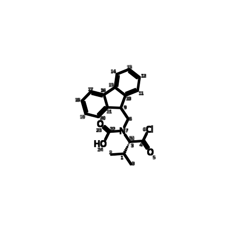 CC(C)[C@@H](C(=O)Cl)N(CC1c2ccccc2-c2ccccc21)C(=O)O